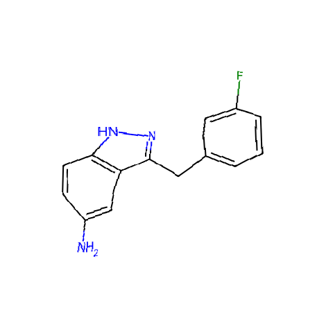 Nc1ccc2[nH]nc(Cc3cccc(F)c3)c2c1